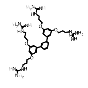 N=C(N)NCCCOc1cc(OCCCNC(=N)N)cc(-c2cccc(-c3cc(OCCCNC(=N)N)cc(OCCCNC(=N)N)c3)c2)c1